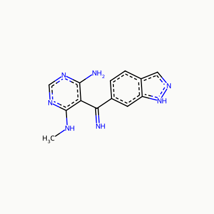 CNc1ncnc(N)c1C(=N)c1ccc2cn[nH]c2c1